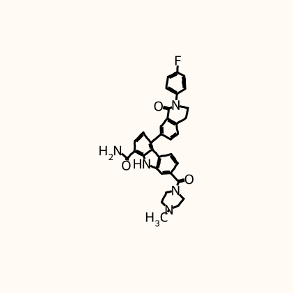 CN1CCN(C(=O)c2ccc3c(c2)[nH]c2c(C(N)=O)ccc(-c4ccc5c(c4)C(=O)N(c4ccc(F)cc4)CC5)c23)CC1